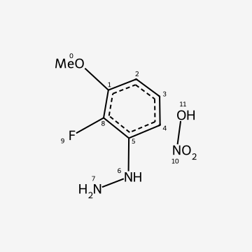 COc1cccc(NN)c1F.O=[N+]([O-])O